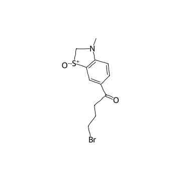 CN1C[S+]([O-])c2cc(C(=O)CCCBr)ccc21